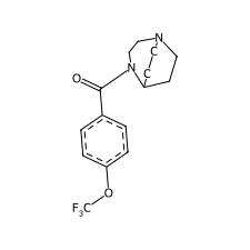 O=C(c1ccc(OC(F)(F)F)cc1)N1CCN2CCC1CC2